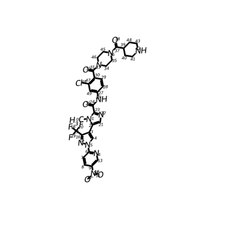 Cn1c(-c2cn(-c3ccc([N+](=O)[O-])cn3)nc2C(F)(F)F)cnc1C(=O)Nc1ccc(C(=O)N2CCN(C(=O)C3CCNCC3)CC2)c(Cl)c1